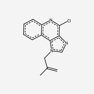 C=C(C)Cn1cnc2c(Cl)nc3ccccc3c21